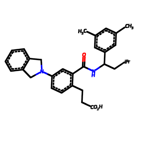 Cc1cc(C)cc(C(CC(C)C)NC(=O)c2cc(N3Cc4ccccc4C3)ccc2CCC(=O)O)c1